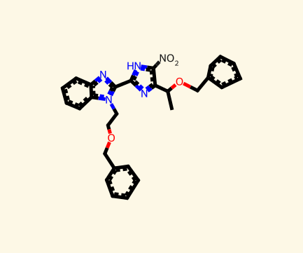 CC(OCc1ccccc1)c1nc(-c2nc3ccccc3n2CCOCc2ccccc2)[nH]c1[N+](=O)[O-]